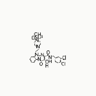 CS(=O)(=O)N1CCN(CCn2c3ccccc3n3c(=O)c(O)c(C(=O)NCc4ccc(Cl)c(Cl)c4)nc23)CC1